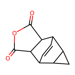 O=C1OC(=O)C2C3C=CC(C4CC34)C12